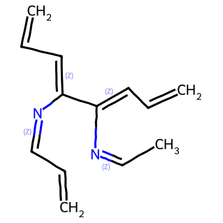 C=C\C=N/C(=C\C=C)C(=C/C=C)/N=C\C